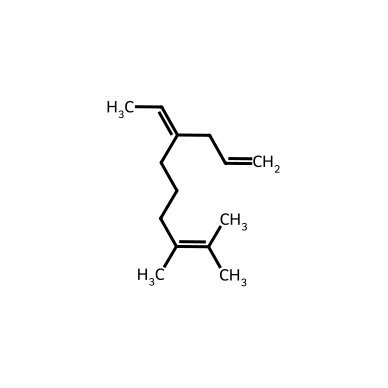 C=CC/C(=C/C)CCCC(C)=C(C)C